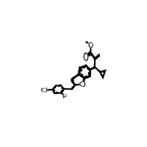 COC(=O)C(C)C(c1ccc2c(c1)OC(Cc1ccc(Cl)cc1F)C2)C1CC1